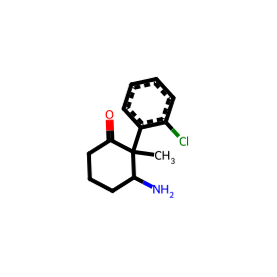 CC1(c2ccccc2Cl)C(=O)CCCC1N